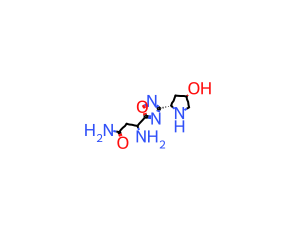 NC(=O)CC(N)c1nc([C@@H]2C[C@@H](O)CN2)no1